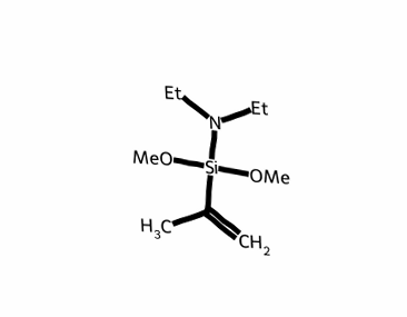 C=C(C)[Si](OC)(OC)N(CC)CC